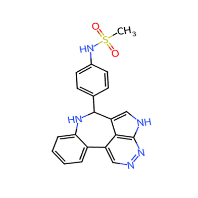 CS(=O)(=O)Nc1ccc(C2Nc3ccccc3-c3cnnc4[nH]cc2c34)cc1